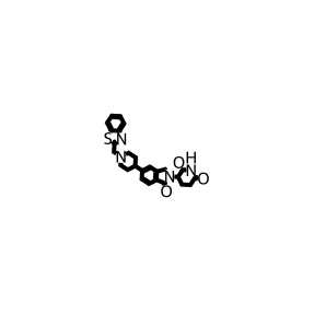 O=C1CCC(N2Cc3cc(C4CCN(Cc5nc6ccccc6s5)CC4)ccc3C2=O)C(=O)N1